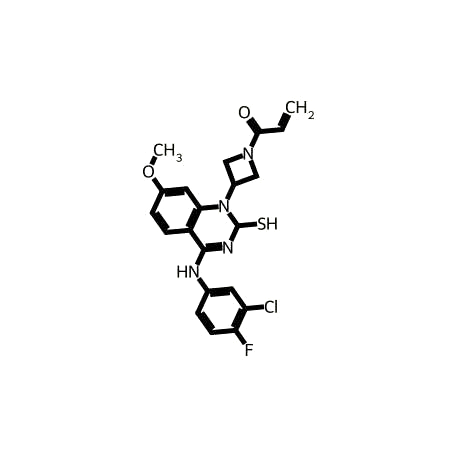 C=CC(=O)N1CC(N2c3cc(OC)ccc3C(Nc3ccc(F)c(Cl)c3)=NC2S)C1